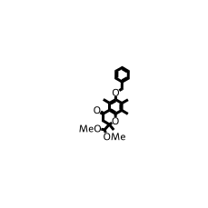 COC(OC)C1(C)CC(=O)c2c(C)c(OCc3ccccc3)c(C)c(C)c2O1